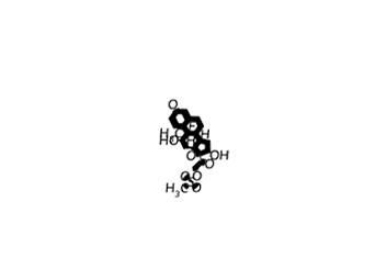 C[C@]12C=CC(=O)C=C1CC[C@H]1[C@@H]3C[C@@H](O)[C@@]4(C(=O)COS(C)(=O)=O)O[C@]34C[C@H](O)[C@@]12F